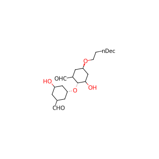 CCCCCCCCCCCCO[C@H]1CC(O)[C@H](O[C@H]2CC(O)CC(C=O)C2)C(C=O)C1